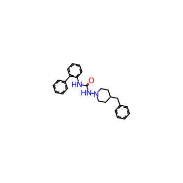 O=C(Nc1ccccc1-c1ccccc1)NN1CCC(Cc2ccccc2)CC1